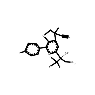 CC1(C#N)COc2c1cc([C@@](O)(CN)C(F)(F)F)nc2-c1ccc(F)cc1